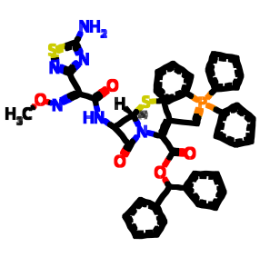 CON=C(C(=O)NC1C(=O)N2C(C(=O)OC(c3ccccc3)c3ccccc3)=C(C=P(c3ccccc3)(c3ccccc3)c3ccccc3)CS[C@@H]12)c1nsc(N)n1